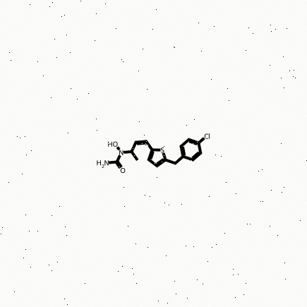 CC(/C=C\c1ccc(Cc2ccc(Cl)cc2)s1)N(O)C(N)=O